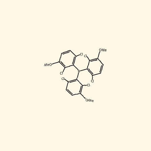 COc1ccc(Cl)c(B(c2c(Cl)ccc(OC)c2Cl)c2c(Cl)ccc(OC)c2Cl)c1Cl